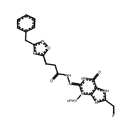 CCCCCn1/c(=N/NC(=O)CCc2nc(Cc3ccccc3)no2)[nH]c(=O)c2[nH]c(CF)nc21